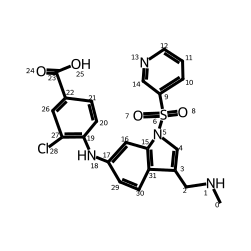 CNCc1cn(S(=O)(=O)c2cccnc2)c2cc(Nc3ccc(C(=O)O)cc3Cl)ccc12